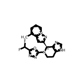 Cc1cccn2nc([C@H]3c4nc[nH]c4CCN3c3nnc(C(F)F)o3)cc12